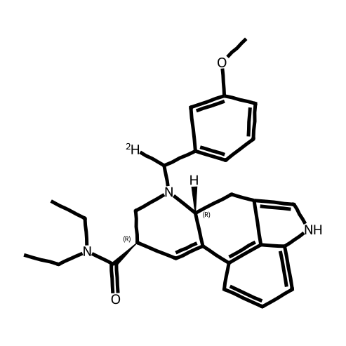 [2H]C(c1cccc(OC)c1)N1C[C@H](C(=O)N(CC)CC)C=C2c3cccc4[nH]cc(c34)C[C@H]21